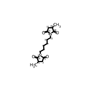 CC1CC(=O)N(CCCCCCN2C(=O)CC(C)C2=O)C1=O